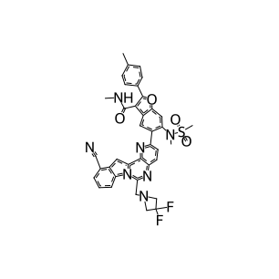 CNC(=O)c1c(-c2ccc(C)cc2)oc2cc(N(C)S(C)(=O)=O)c(-c3ccc4nc(CN5CC(F)(F)C5)n5c6cccc(C#N)c6cc5c4n3)cc12